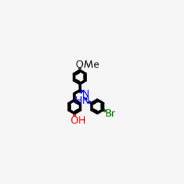 COc1ccc(C(Cc2ccc(O)cc2)=NNc2ccc(Br)cc2)cc1